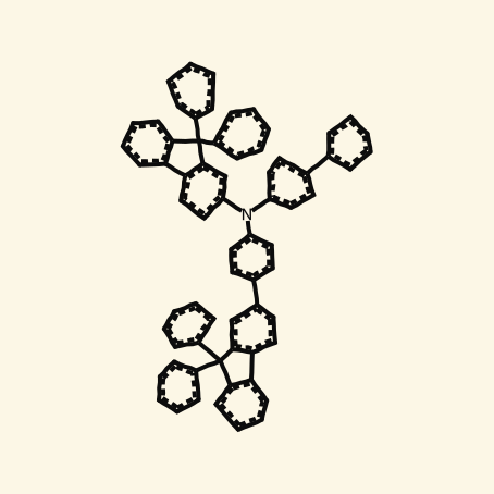 c1ccc(-c2ccc(N(c3ccc(-c4ccc5c(c4)C(c4ccccc4)(c4ccccc4)c4ccccc4-5)cc3)c3ccc4c(c3)C(c3ccccc3)(c3ccccc3)c3ccccc3-4)cc2)cc1